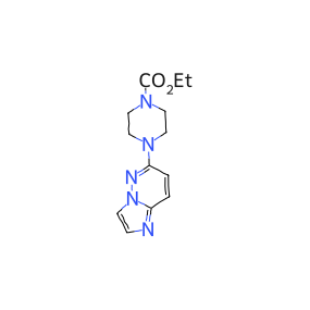 CCOC(=O)N1CCN(c2ccc3nccn3n2)CC1